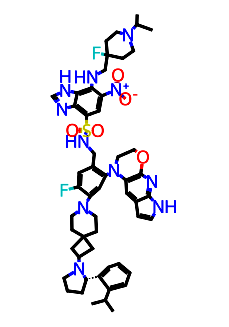 CC(C)c1ccccc1[C@@H]1CCCN1C1CC2(CCN(c3cc(N4CCOc5nc6[nH]ccc6cc54)c(CNS(=O)(=O)c4cc([N+](=O)[O-])c(NCC5(F)CCN(C(C)C)CC5)c5[nH]cnc45)cc3F)CC2)C1